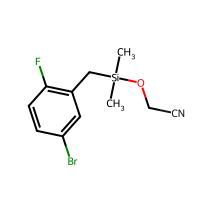 C[Si](C)(Cc1cc(Br)ccc1F)OCC#N